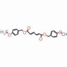 COc1ccc(COC(=O)/C=C/C=C/C(=O)OCc2ccc(OC)cc2)cc1